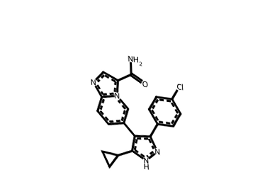 NC(=O)c1cnc2ccc(-c3c(-c4ccc(Cl)cc4)n[nH]c3C3CC3)cn12